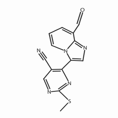 CSc1ncc(C#N)c(-c2cnc3c(C=O)cccn23)n1